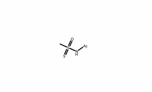 CC(=O)NS(C)(=O)=S